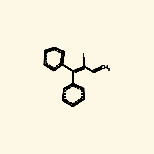 C=CC(I)=C(c1ccccc1)c1ccccc1